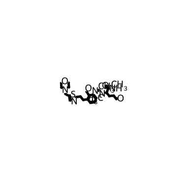 CNC(=O)C(CCC=O)N(C)/C(C)=N\c1cccc(CCc2ncc(CN3CCOCC3)s2)c1C=O